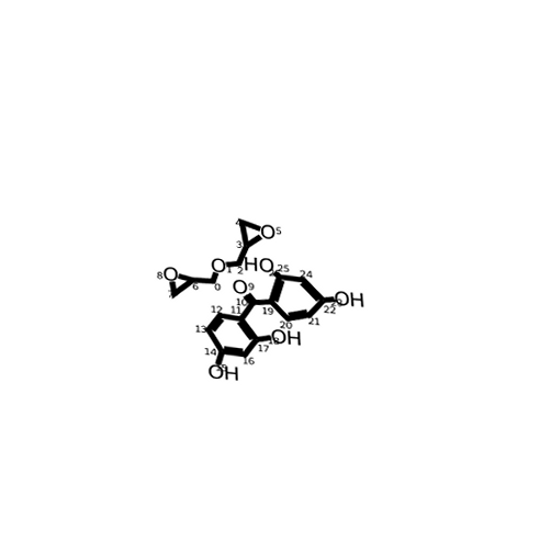 C(OCC1CO1)C1CO1.O=C(c1ccc(O)cc1O)c1ccc(O)cc1O